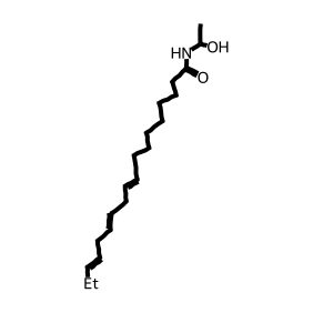 CCC=CCC=CCC=CCCCCCCCC(=O)NC(C)O